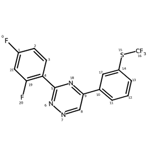 Fc1ccc(-c2nncc(-c3cccc(SC(F)(F)F)c3)n2)c(F)c1